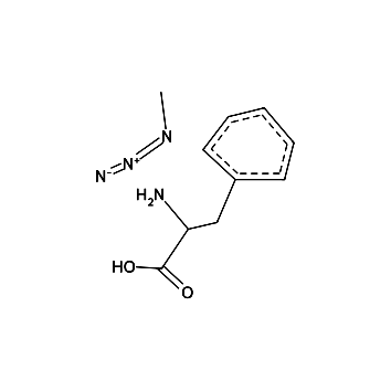 CN=[N+]=[N-].NC(Cc1ccccc1)C(=O)O